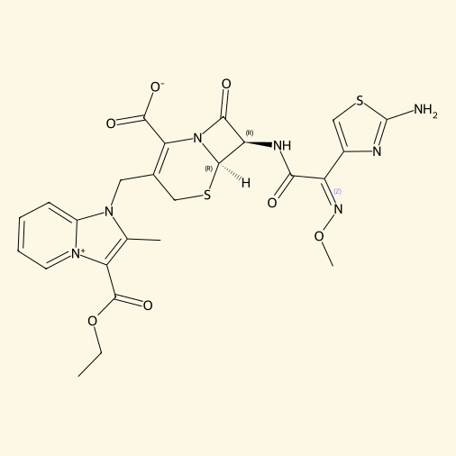 CCOC(=O)c1c(C)n(CC2=C(C(=O)[O-])N3C(=O)[C@@H](NC(=O)/C(=N\OC)c4csc(N)n4)[C@H]3SC2)c2cccc[n+]12